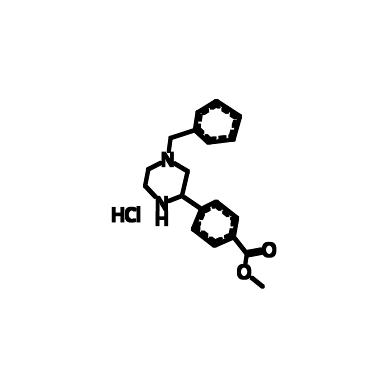 COC(=O)c1ccc(C2CN(Cc3ccccc3)CCN2)cc1.Cl